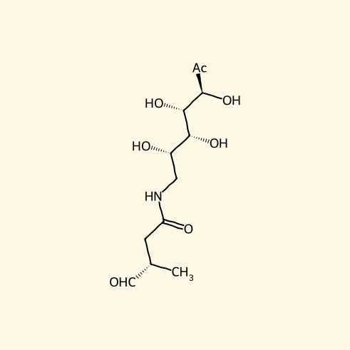 CC(=O)[C@@H](O)[C@@H](O)[C@H](O)[C@@H](O)CNC(=O)C[C@H](C)C=O